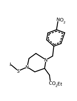 CCOC(=O)CC1CN(SI)CCN1Cc1ccc([N+](=O)[O-])cc1